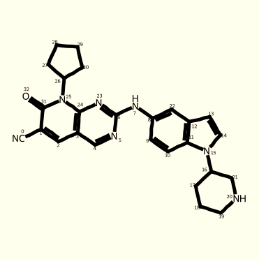 N#Cc1cc2cnc(Nc3ccc4c(ccn4C4CCCNC4)c3)nc2n(C2CCCC2)c1=O